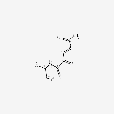 C=C(C=CC(N)=O)C(=O)NC(CC)S(=O)(=O)O